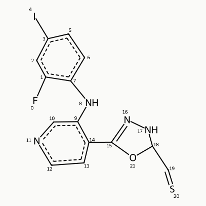 Fc1cc(I)ccc1Nc1cnccc1C1=NNC(C=S)O1